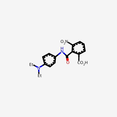 CCN(CC)c1ccc(NC(=O)c2c(C(=O)O)cccc2[N+](=O)[O-])cc1